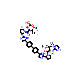 CC(C)[C@H](NC1=NCCN1)C(=O)N1CCC[C@H]1c1ncc(-c2ccc(-c3ccc(-c4cnc([C@@H]5CCCN5C(=O)[C@H](C(C)C)N(C)C(=O)O)[nH]4)cc3)cc2)[nH]1